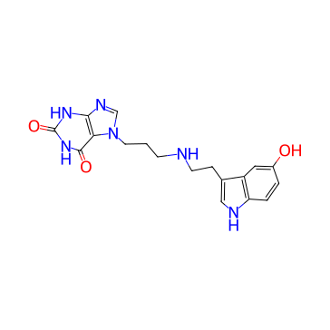 O=c1[nH]c(=O)c2c(ncn2CCCNCCc2c[nH]c3ccc(O)cc23)[nH]1